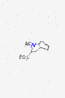 CCOC(=O)C1Cc2ccccc2N1C(C)=O